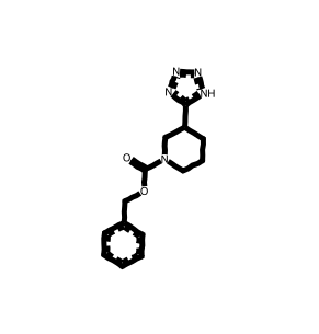 O=C(OCc1ccccc1)N1CCCC(c2nnn[nH]2)C1